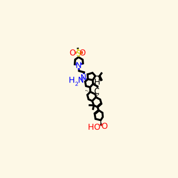 C=C(C)[C@@H]1CC[C@]2(N(N)CCN3CCC(S(C)(=O)=O)CC3)CCC3[C@H](CCC4[C@@]3(C)CCC3C(C)(C)C(C5=CC[C@H](C(=O)O)CC5)=CC[C@@]34C)C12